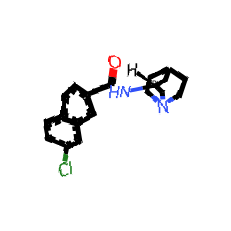 O=C(N[C@@H]1CC2CCN(CC2)C1)c1ccc2ccc(Cl)cc2c1